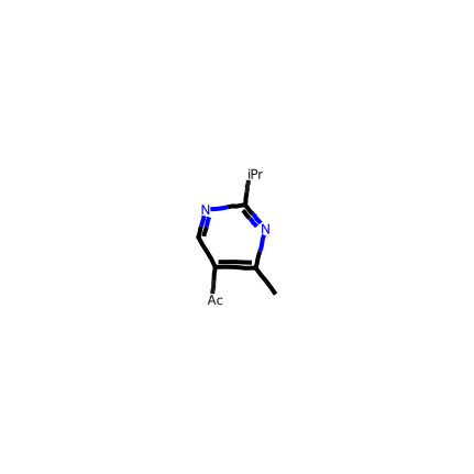 CC(=O)c1cnc(C(C)C)nc1C